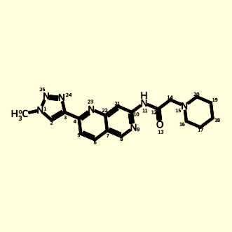 Cn1cc(-c2ccc3cnc(NC(=O)CN4CCCCC4)cc3n2)nn1